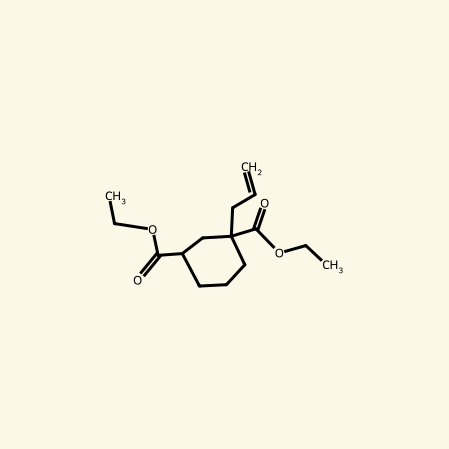 C=CCC1(C(=O)OCC)CCCC(C(=O)OCC)C1